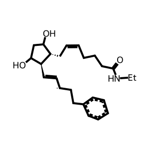 CCNC(=O)CCC/C=C\C[C@H]1C(O)CC(O)[C@@H]1/C=C/[CH]CCc1ccccc1